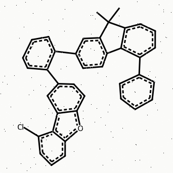 CC1(C)c2cc(-c3ccccc3-c3ccc4oc5cccc(Cl)c5c4c3)ccc2-c2c(-c3ccccc3)cccc21